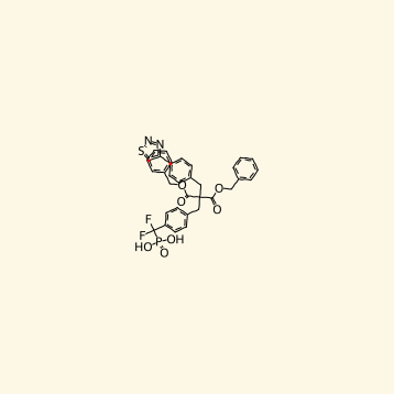 O=C(OCc1ccccc1)C(Cc1ccc(-c2csnn2)cc1)(Cc1ccc(C(F)(F)P(=O)(O)O)cc1)C(=O)OCc1ccccc1